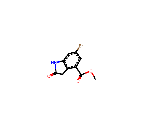 COC(=O)c1cc(Br)cc2c1CC(=O)N2